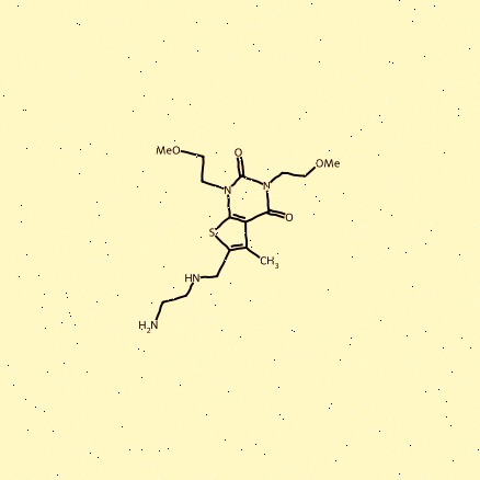 COCCn1c(=O)c2c(C)c(CNCCN)sc2n(CCOC)c1=O